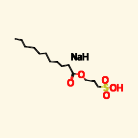 CCCCCCCCCCC(=O)OCCCS(=O)(=O)O.[NaH]